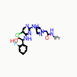 CC(C)NC(=O)Cn1cc(Nc2ncc(Cl)c(NC(CO)c3ccccc3F)n2)cn1